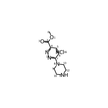 COC(=O)c1ccc(N2CCNCC2)nn1.Cl